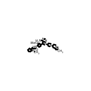 COc1cc(-c2cn(C3CCN([C@H]4CCn5nc(C)cc5C4)CC3)c3ncnc(N)c23)ccc1NC(=O)c1cc2ccccc2n1C